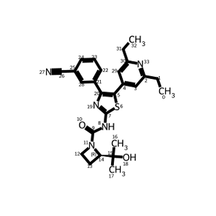 CCc1cc(-c2sc(NC(=O)N3CC[C@@H]3C(C)(C)O)nc2-c2cccc(C#N)c2)cc(CC)n1